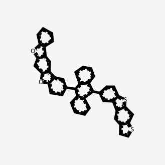 c1ccc2c(c1)oc1cc3oc4ccc(-c5c6ccccc6c(-c6ccc7sc8cc9sccc9cc8c7c6)c6ccccc56)cc4c3cc12